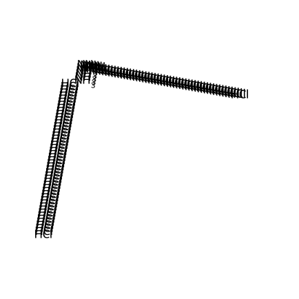 Cl.Cl.Cl.Cl.Cl.Cl.Cl.Cl.Cl.Cl.Cl.Cl.Cl.Cl.Cl.Cl.Cl.Cl.Cl.Cl.Cl.Cl.Cl.Cl.Cl.Cl.Cl.Cl.Cl.Cl.Cl.Cl.Cl.Cl.Cl.Cl.Cl.Cl.Cl.Cl.Cl.Cl.Cl.Cl.Cl.Cl.Cl.Cl.Cl.Cl.Cl.Cl.Cl.Cl.Cl.Cl.Cl.Cl.Cl.Cl.Cl.Cl.Cl.Cl.Cl.Cl.Cl.Cl.Cl.Cl.Cl.Cl.Cl.Cl.Cl.Cl.Cl.Cl.Cl.Cl.Cl.Cl.Cl.Cl.Cl.Cl.Cl.Cl.Cl.Cl.Cl.Cl.Cl.Cl.Cl.Cl.Cl.Cl.Cl.Cl.N.N.N.N.N.N.N.N.N.N